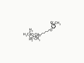 Cc1ccc(OCCCCCCCOC(C)(C)C(=O)OC(C)(C)C)c[n+]1[O-]